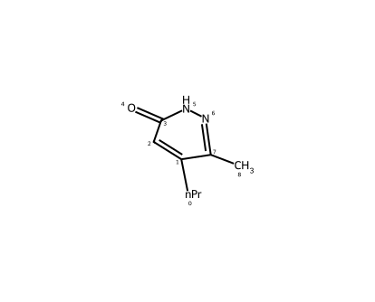 CCCc1cc(=O)[nH]nc1C